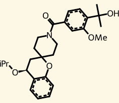 COc1cc(C(=O)N2CCC3(CC2)C[C@H](OC(C)C)c2ccccc2O3)ccc1C(C)(C)O